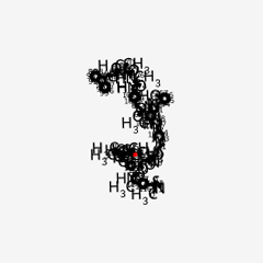 Cc1ncsc1-c1ccc([C@H](C)NC(=O)[C@@H]2C[C@@H](OP(=O)(OC(C)(C)C)OC(C)(C)C)CN2C(=O)[C@@H](c2cc(OCCN3CCC(N4CCN5c6cc(-c7ccccc7O)nnc6N(C(=O)OCc6ccc(NC(=O)[C@H](C)NC(=O)[C@@H](NC(=O)OCC7c8ccccc8-c8ccccc87)C(C)C)cc6)[C@@H](C)[C@@H]5C4)CC3)no2)C(C)C)cc1